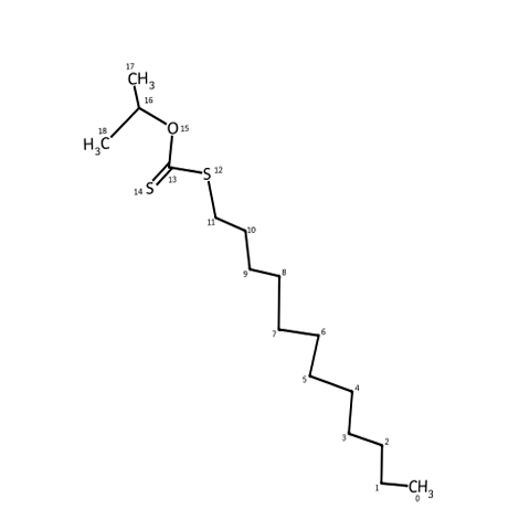 CCCCCCCCCCCCSC(=S)OC(C)C